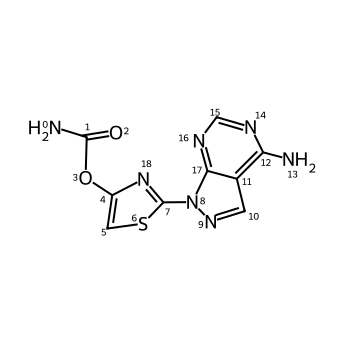 NC(=O)Oc1csc(-n2ncc3c(N)ncnc32)n1